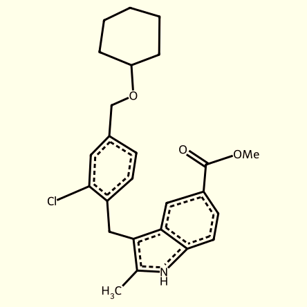 COC(=O)c1ccc2[nH]c(C)c(Cc3ccc(COC4CCCCC4)cc3Cl)c2c1